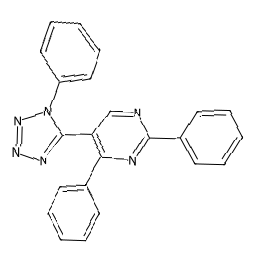 c1ccc(-c2ncc(-c3nnnn3-c3ccccc3)c(-c3ccccc3)n2)cc1